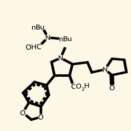 CCCCN(C=O)CCCC.CN1CC(c2ccc3c(c2)OCO3)C(C(=O)O)C1CCN1CCCC1=O